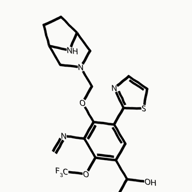 C=Nc1c(OCN2CC3CCC(C2)N3)c(-c2nccs2)cc(C(O)CC)c1OC(F)(F)F